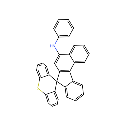 c1ccc(Nc2cc3c(c4ccccc24)-c2ccccc2C32c3ccccc3Sc3ccccc32)cc1